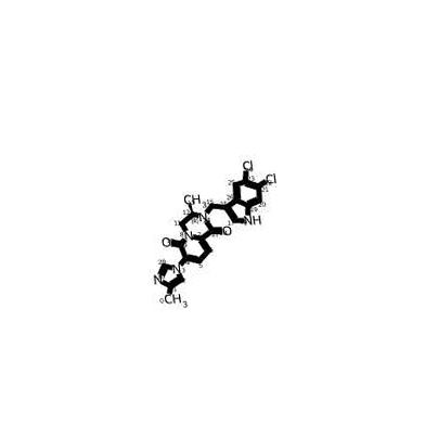 Cc1cn(-c2ccc3n(c2=O)C[C@@H](C)N(Cc2c[nH]c4cc(Cl)c(Cl)cc24)C3=O)cn1